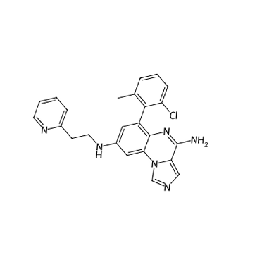 Cc1cccc(Cl)c1-c1cc(NCCc2ccccn2)cc2c1nc(N)c1cncn12